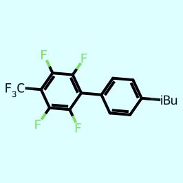 CCC(C)c1ccc(-c2c(F)c(F)c(C(F)(F)F)c(F)c2F)cc1